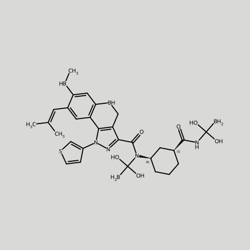 BC(O)(O)NC(=O)[C@H]1CCC[C@@H](N(C(=O)c2nn(-c3ccsc3)c3c2CBc2cc(BC)c(C=C(C)C)cc2-3)C(B)(O)O)C1